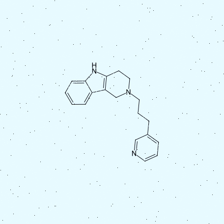 c1cncc(CCCN2CCc3[nH]c4ccccc4c3C2)c1